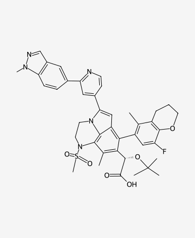 Cc1c(-c2c([C@H](OC(C)(C)C)C(=O)O)c(C)c3c4c2cc(-c2ccnc(-c5ccc6c(cnn6C)c5)c2)n4CCN3S(C)(=O)=O)cc(F)c2c1CCCO2